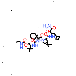 CCNC(=O)OCC(NC(=O)N[C@H](C(=O)N1CC2C([C@H]1C(=O)NC(CC1CCC1)C(=O)C(N)=O)C2(C)C)C1(C)CCCCC1)C(C)(C)C